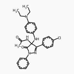 CCN(CC)c1ccc(NC2(NC(C)=O)C(=O)N(c3ccccc3)N=C2c2ccc(Cl)cc2)cc1